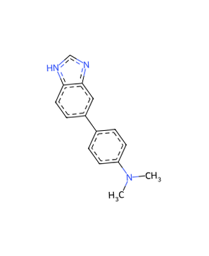 CN(C)c1ccc(-c2ccc3[nH]cnc3c2)cc1